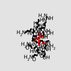 CC[C@H](C)[C@H](N)C(=O)N[C@@H](CC(=O)O)C(=O)N[C@@H](CCC(N)=O)C(=O)N[C@@H](CCC(N)=O)C(=O)N[C@H](C(=O)N[C@@H](CC(C)C)C(=O)N[C@@H](CO)C(=O)N[C@@H](CCCNC(=N)N)C(=O)N[C@H](C(=O)N[C@@H](CCCCN)C(=O)N[C@@H](CC(C)C)C(=O)N[C@@H](CCC(=O)O)C(=O)O)[C@@H](C)CC)C(C)C